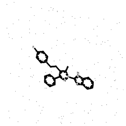 Cc1c(CCc2ccc(F)cc2)c(-c2ccccc2)nn1-c1nc2ccccc2[nH]1